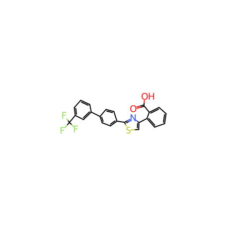 O=C(O)c1ccccc1-c1csc(-c2ccc(-c3cccc(C(F)(F)F)c3)cc2)n1